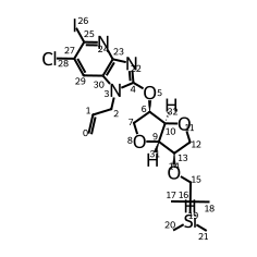 C=CCn1c(O[C@@H]2CO[C@@H]3[C@@H]2OC[C@H]3OCC(C)(C)[SiH](C)C)nc2nc(I)c(Cl)cc21